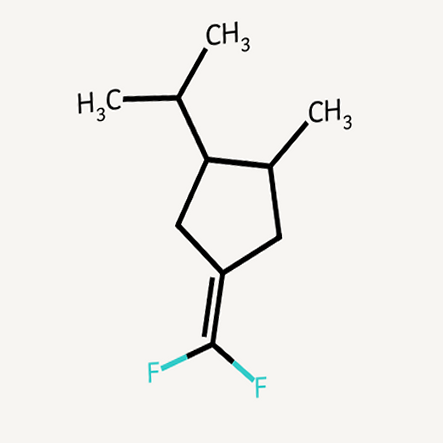 CC(C)C1CC(=C(F)F)CC1C